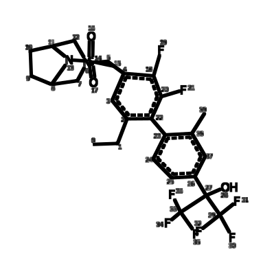 CCc1cc(CN2CC3CCC(C2)N3S(C)(=O)=O)c(F)c(F)c1-c1ccc(C(O)(C(F)(F)F)C(F)(F)F)cc1C